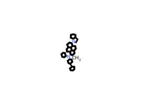 Cc1cc(-c2ccccc2)ccc1N(c1ccccc1)c1ccc2ccc3c(N4CCc5ccccc54)ccc4ccc1c2c43